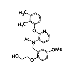 COc1ccc(OCCO)c(CN(C(C)=O)c2cccnc2Oc2cccc(C)c2C)c1